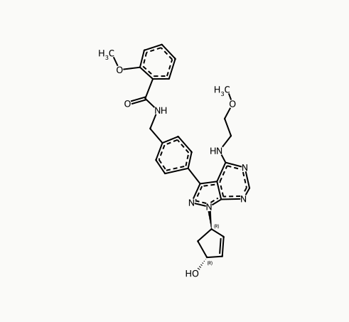 COCCNc1ncnc2c1c(-c1ccc(CNC(=O)c3ccccc3OC)cc1)nn2[C@H]1C=C[C@H](O)C1